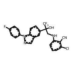 N#Cc1c(Cl)cccc1NCC(O)(c1ccc2c(cnn2-c2ccc(F)cc2)c1)C(F)(F)F